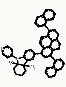 CC12CCCCC1(C)N(c1ccncc1)c1ccc(-c3cc(-c4cccc5ccccc45)c4ccc5ccc(-c6cccc7ccccc67)c6ccc3c4c56)cc12